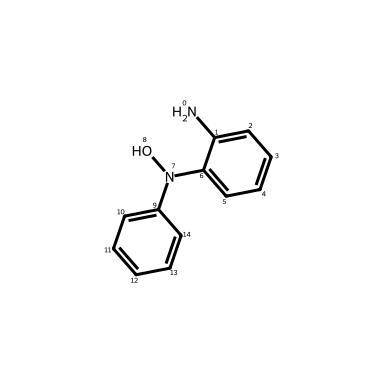 Nc1ccccc1N(O)c1ccccc1